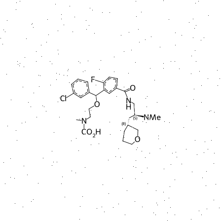 CN[C@H](CNC(=O)c1ccc(F)c(C(OCCN(C)C(=O)O)c2cccc(Cl)c2)c1)C[C@H]1CCCOC1